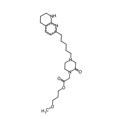 COCCCOC(=O)CN1CCN(CCCCCc2ccc3c(n2)NCCC3)CC1=O